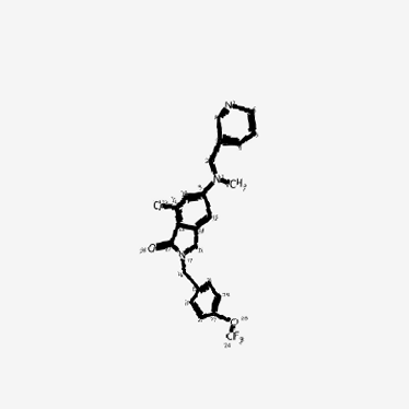 CN(Cc1cccnc1)c1cc(Cl)c2c(c1)CN(Cc1ccc(OC(F)(F)F)cc1)C2=O